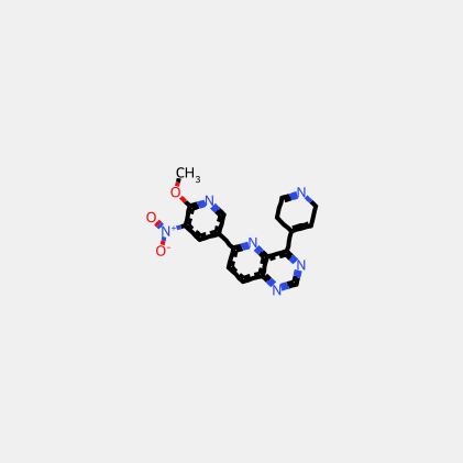 COc1ncc(-c2ccc3ncnc(C4=CCN=CC4)c3n2)cc1[N+](=O)[O-]